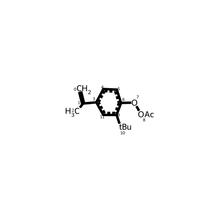 C=C(C)c1ccc(OOC(C)=O)c(C(C)(C)C)c1